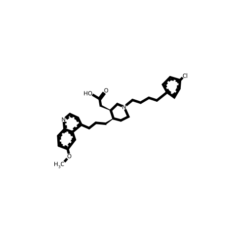 COc1ccc2nccc(CCC[C@@H]3CCN(CCCCc4ccc(Cl)cc4)C[C@@H]3CC(=O)O)c2c1